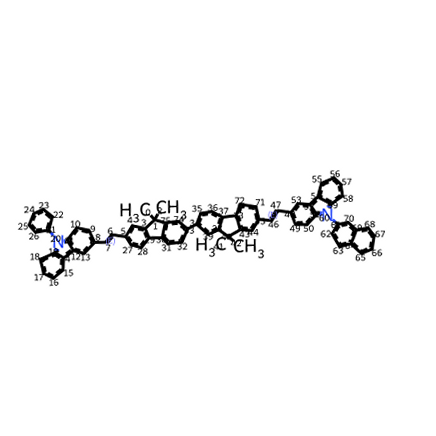 CC1(C)c2cc(/C=C/c3ccc4c(c3)c3ccccc3n4-c3ccccc3)ccc2-c2ccc(-c3ccc4c(c3)C(C)(C)c3cc(/C=C/c5ccc6c(c5)c5ccccc5n6-c5ccc6ccccc6c5)ccc3-4)cc21